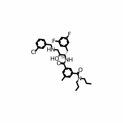 CCCN(CCC)C(=O)c1cc(C)cc(C(=O)N[C@@H](Cc2cc(F)cc(F)c2)[C@H](O)CNCc2cccc(Cl)c2)c1